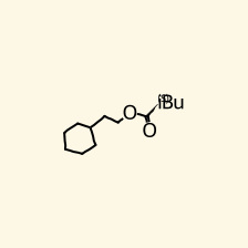 CC[C@H](C)C(=O)OCCC1CCCCC1